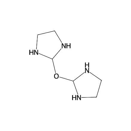 C1CNC(OC2NCCN2)N1